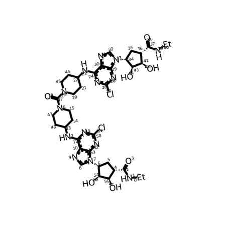 CCNC(=O)[C@H]1C[C@@H](n2cnc3c(NC4CCN(C(=O)N5CCC(Nc6nc(Cl)nc7c6ncn7[C@@H]6C[C@H](C(=O)NCC)[C@@H](O)[C@H]6O)CC5)CC4)nc(Cl)nc32)[C@H](O)[C@@H]1O